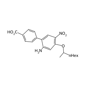 CCCCCCC(C)Oc1cc(N)c(-c2ccc(C(=O)O)cc2)cc1[N+](=O)[O-]